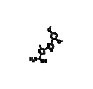 COc1ccc(OC)c(-c2csc(-c3cc(C(=N)N)sc3C)n2)c1